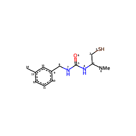 CNC(CS)NC(=O)NCc1cccc(C)c1